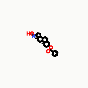 C[C@]12CCC(OC(=O)c3ccccc3)CC1=CCC1C2CC[C@]2(C)/C(=N/O)CCC12